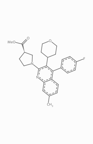 COC(=O)[C@@H]1CCN(c2nc3cc(C)ccc3c(-c3ccc(F)cc3)c2C2CCOCC2)C1